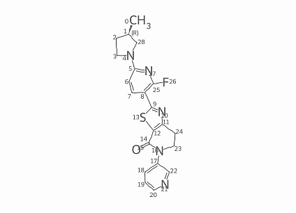 C[C@@H]1CCN(c2ccc(-c3nc4c(s3)C(=O)N(c3cccnc3)CC4)c(F)n2)C1